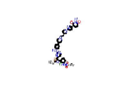 CCCS(=O)(=O)Nc1cccc(-c2nc(C(C)(C)C)sc2-c2ccnc(Nc3ccc(C4CCN(CC[C@H]5CCN(c6ccc([C@@H]7CCC(=O)NC7=O)cn6)C5)CC4)cc3)n2)c1F